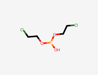 OP(OCCCl)OCCCl